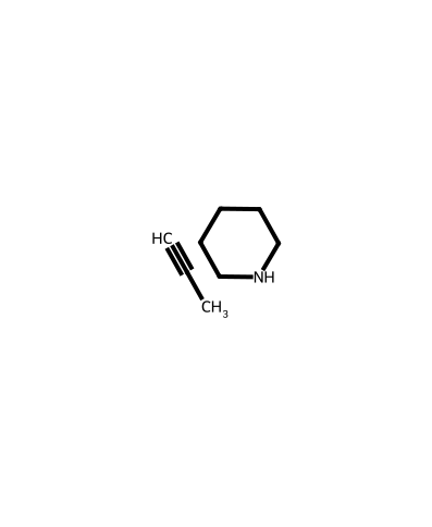 C#CC.C1CCNCC1